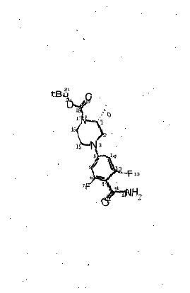 C[C@@H]1CN(c2cc(F)c(C(N)=O)c(F)c2)CCN1C(=O)OC(C)(C)C